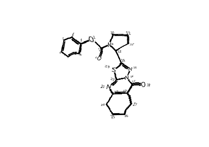 O=C(Oc1ccccc1)N1CCCC1c1nn2c(=O)c3c(nc2s1)CCCC3